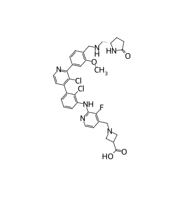 COc1cc(-c2nccc(-c3cccc(Nc4nccc(CN5CC(C(=O)O)C5)c4F)c3Cl)c2Cl)ccc1CNC[C@@H]1CCC(=O)N1